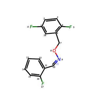 Fc1ccc(F)c(CO/N=[C]\c2ccccc2F)c1